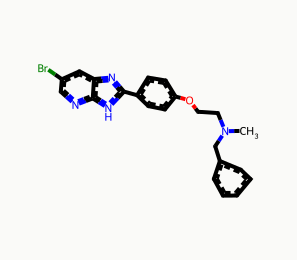 CN(CCOc1ccc(-c2nc3cc(Br)cnc3[nH]2)cc1)Cc1ccccc1